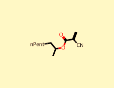 C=C(C#N)C(=O)OC(C)CCCCCC